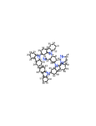 Cc1cc(C)nc(-c2cc(-n3c4ccccc4c4ccc(-n5c6ccccc6c6ccccc65)cc43)c(C#N)cc2-n2c3ccccc3c3ccc(-n4c5ccccc5c5ccccc54)cc32)n1